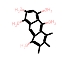 Bc1cc(B)c2c(B)c3c(C)c(C)c(C)c(B)c3cc2c1B